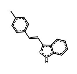 [CH2]c1ccc(C=Cc2n[nH]c3ccccc23)cc1